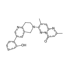 Cc1cc(=O)n2nc(N3CCc4ncc(-c5ccccc5O)cc4C3)c(C)cc2n1